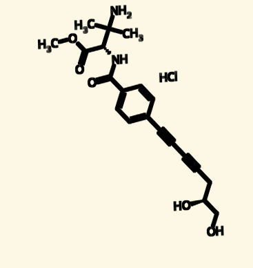 COC(=O)[C@@H](NC(=O)c1ccc(C#CC#CC[C@H](O)CO)cc1)C(C)(C)N.Cl